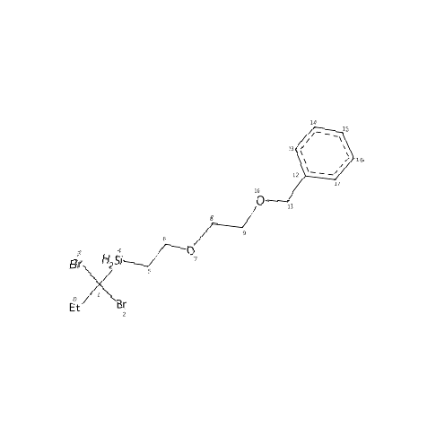 CCC(Br)(Br)[SiH2]CCOCCOCc1ccccc1